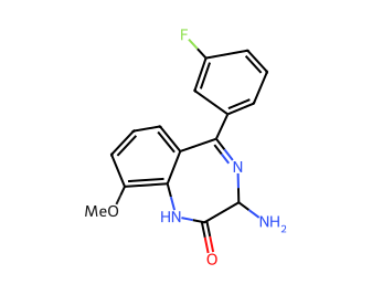 COc1cccc2c1NC(=O)C(N)N=C2c1cccc(F)c1